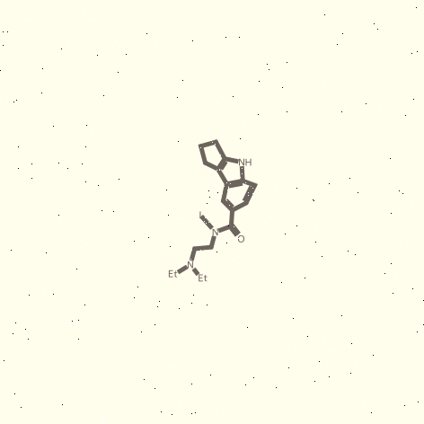 CCN(CC)CCN(I)C(=O)c1ccc2[nH]c3c(c2c1)CCC3